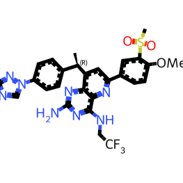 COc1ccc(-c2cc([C@H](C)c3ccc(-n4cncn4)cc3)c3nc(N)nc(NCC(F)(F)F)c3n2)cc1S(C)(=O)=O